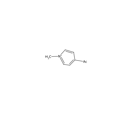 [CH2][n+]1ccc(C(C)=O)cc1